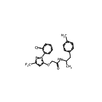 Cc1ccc(CC(C)NC(=O)COc2cc(C(F)(F)F)nn2-c2ccccc2Cl)cc1